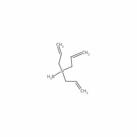 B[Si](CC=C)(CC=C)CC=C